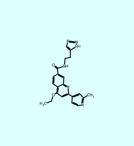 CCOc1cc(-c2ccnc(C)c2)nc2cc(C(=O)NCCc3cnn[nH]3)ccc12